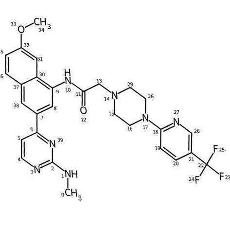 CNc1nccc(-c2cc(NC(=O)CN3CCN(c4ccc(C(F)(F)F)cn4)CC3)c3cc(OC)ccc3c2)n1